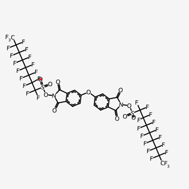 O=C1c2ccc(Oc3ccc4c(c3)C(=O)N(OS(=O)(=O)C(F)(F)C(F)(F)C(F)(F)C(F)(F)C(F)(F)C(F)(F)C(F)(F)C(F)(F)F)C4=O)cc2C(=O)N1OS(=O)(=O)C(F)(F)C(F)(F)C(F)(F)C(F)(F)C(F)(F)C(F)(F)C(F)(F)C(F)(F)F